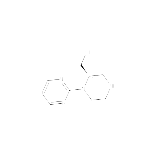 OC[C@H]1CNCCN1c1ncccn1